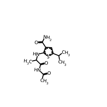 CC(=O)NC(=O)C(C)Nc1sc(C(C)C)cc1C(N)=O